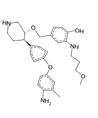 COCCCNc1cc(CO[C@H]2CNCC[C@@H]2c2ccc(Oc3ccc(N)c(C)c3)cc2)ccc1O